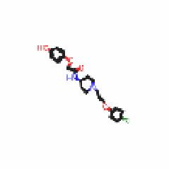 O=C(COc1ccc(O)cc1)NC1CCN(CCCOc2ccc(Cl)cc2)CC1